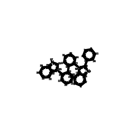 c1ccc(-c2nc3ccccc3n2-c2ccccc2-c2ccccc2-n2cnc3ccccc32)cc1